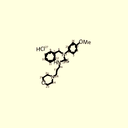 COc1ccc(N(Cc2ccccc2)C(=S)NCCCN2CCOCC2)cc1.Cl